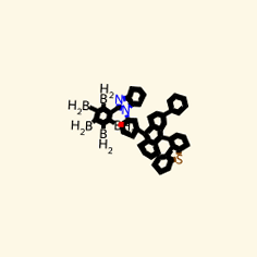 Bc1c(B)c(B)c(-c2nc3ccccc3n2-c2cccc(-c3c4ccccc4c(-c4cccc5sc6ccccc6c45)c4cc(-c5ccccc5)ccc34)c2)c(B)c1B